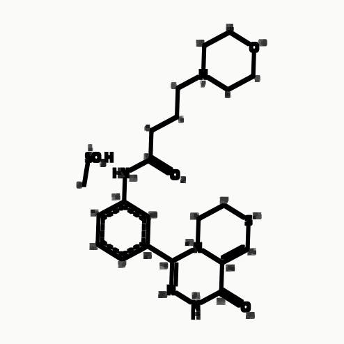 CS(=O)(=O)O.O=C(CCCN1CCOCC1)Nc1cccc(C2=NNC(=O)C3=CSCCN32)c1